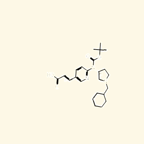 CC(C)(C)OC(=O)N(c1ccc(/C=C/C(=O)O)cn1)[C@@H]1CCN(CC2CCCCC2)C1